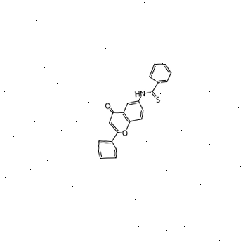 O=c1cc(-c2ccccc2)oc2ccc(NC(=S)c3ccccc3)cc12